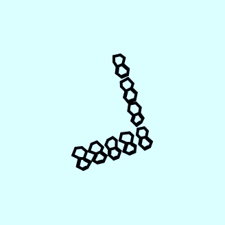 c1ccc2c(c1)CCCC2.c1ccc2c(c1)CCCC2.c1ccc2c(c1)CCCC2.c1ccc2c(c1)CCCC2.c1ccc2c(c1)CCCC2.c1ccc2c(c1)CCCC2.c1ccc2c(c1)CCCC2.c1ccc2c(c1)CCCC2